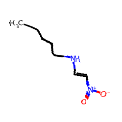 CCCCCNC=C[N+](=O)[O-]